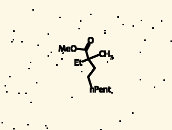 CCCCCCCC(C)(CC)C(=O)OC